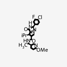 COc1ccc(C(C)NC(=O)c2cn3nc(-c4ccc(Cl)c(F)c4)[nH]c(=O)c3c2C(C)C)cn1